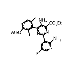 CCOC(=O)c1nc(-c2cc(F)cnc2N)nc(-c2c(C)ccc(OC)c2C)c1N